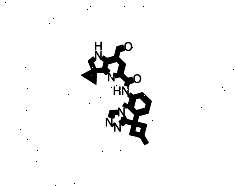 CC1CC(c2cccc(NC(=O)c3cc(C=O)c4c(n3)C3(CC3)CN4)c2)(c2nncn2C)C1